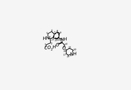 O=C(O)CCC1NCCc2ccc(NC(=O)COC3CCNCC3)cc21